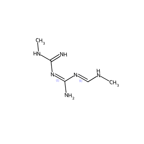 CN/C=N/C(N)=N\C(=N)NC